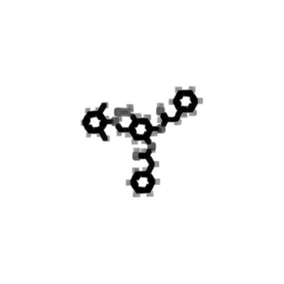 Cc1cccc(C)c1OCc1cc(OC(=O)Cc2ccccc2)c(OC(=O)Cc2ccccc2)cc1C=O